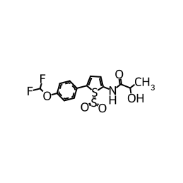 CC(O)C(=O)NC1=CC=C(c2ccc(OC(F)F)cc2)S1=S(=O)=O